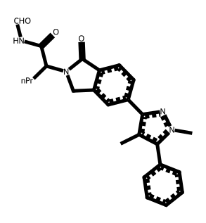 CCCC(C(=O)NC=O)N1Cc2cc(-c3nn(C)c(-c4ccccc4)c3C)ccc2C1=O